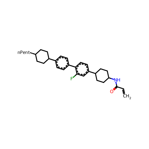 C=CC(=O)NC1CCC(c2ccc(-c3ccc(C4CCC(CCCCC)CC4)cc3)c(F)c2)CC1